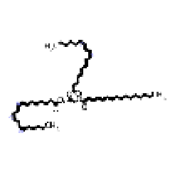 CCCCC/C=C\C/C=C\C/C=C\CCCCCCC(=O)OC[C@@H](COC(=O)CCCCCCCCCCCCCCC)OC(=O)CCCCCCC/C=C\C/C=C\CCCCC